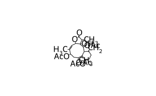 C=C1CCC(OC(C)=O)C2(C)C(OC(C)=O)CC(OC(C)=O)/C(C)=C\C3OC(=O)C(C)C3(O)C(OC(C)=O)C12